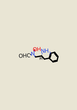 N[C@H](Cc1ccccc1)CN(O)C=O